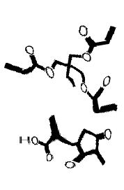 C=C1C(=O)CC(C(=C)C(=O)O)C1=O.C=CC(=O)OCC(CC)(COC(=O)C=C)COC(=O)C=C